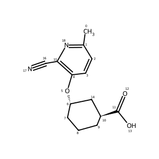 Cc1ccc(O[C@H]2CCC[C@H](C(=O)O)C2)c(C#N)n1